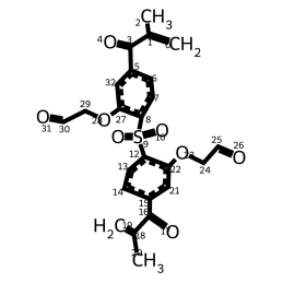 C=C(C)C(=O)c1ccc(S(=O)(=O)c2ccc(C(=O)C(=C)C)cc2OCC=O)c(OCC=O)c1